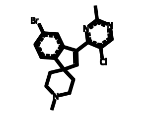 Cc1ncc(Cl)c(C2=CC3(CCN(C)CC3)c3ccc(Br)cc32)n1